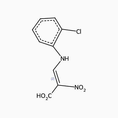 O=C(O)/C(=C/Nc1ccccc1Cl)[N+](=O)[O-]